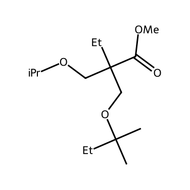 CCC(C)(C)OCC(CC)(COC(C)C)C(=O)OC